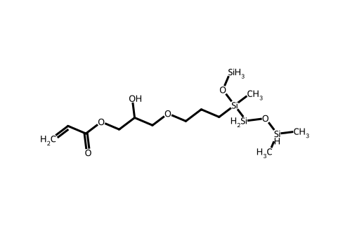 C=CC(=O)OCC(O)COCCC[Si](C)(O[SiH3])[SiH2]O[SiH](C)C